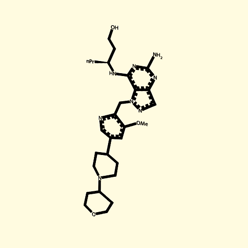 CCC[C@@H](CCO)Nc1nc(N)nc2cnn(Cc3ncc(C4CCN(C5CCOCC5)CC4)cc3OC)c12